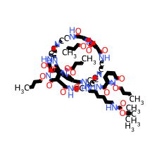 CCCCOn1c(C(=O)NC(CCCCNC(=O)OC(C)(C)C)CN2CCNC(=O)c3ccc(n(OCCCC)c3=O)C(=O)NCCN3CCNC(=O)c4ccc(c(=O)n4OCCCC)C(=O)NCCN(CCNC(=O)c4ccc(n(OCCCC)c4=O)C(=O)NCC3)CC2)cccc1=O